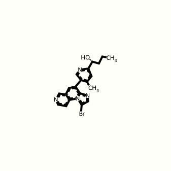 CCC[C@@H](O)c1cc(C)c(-c2cc3cnccc3n3c(Br)cnc23)cn1